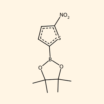 CC1(C)OB(c2ccc([N+](=O)[O-])s2)OC1(C)C